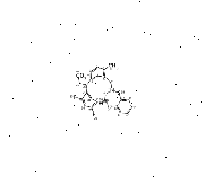 Cc1ccc2cc1CN1C[C@H](Oc3ccccc3S1)c1cc(c(F)cc1F)C2CC(=O)O